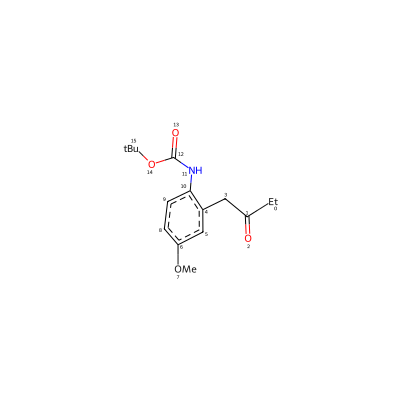 CCC(=O)Cc1cc(OC)ccc1NC(=O)OC(C)(C)C